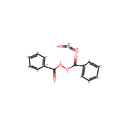 O=C(OOC(=O)c1ccccc1)c1ccccc1.[O]=[Ti]=[O]